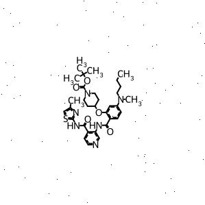 CCCCN(C)c1ccc(C(=O)Nc2cnccc2C(=O)Nc2nc(C)cs2)c(OC2CCN(C(=O)OC(C)(C)C)CC2)c1